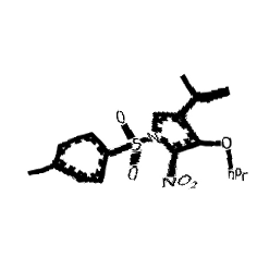 C=C(C)c1cn(S(=O)(=O)c2ccc(C)cc2)c([N+](=O)[O-])c1OCCC